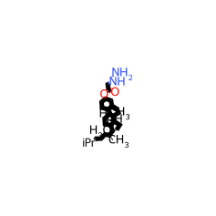 CC(C)CCC[C@@H](C)[C@H]1CC[C@H]2[C@@H]3CC=C4C[C@@H](OC(=O)CNCN)CC[C@]4(C)[C@H]3CC[C@]12C